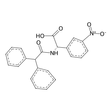 O=C(N[C@H](C(=O)O)c1cccc([N+](=O)[O-])c1)C(c1ccccc1)c1ccccc1